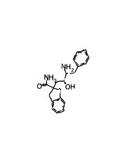 NC(=O)C1(C[C@H](O)[C@@H](N)Cc2ccccc2)Cc2ccccc2C1